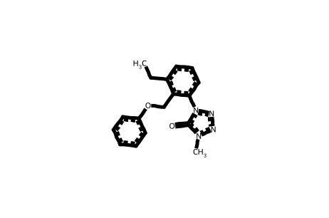 CCc1cccc(-n2nnn(C)c2=O)c1COc1ccccc1